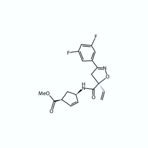 C=C[C@]1(C(=O)N[C@H]2C=C[C@@H](C(=O)OC)C2)CC(c2cc(F)cc(F)c2)=NO1